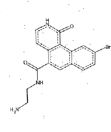 NCCNC(=O)c1cc2ccc(Br)cc2c2c(=O)[nH]ccc12